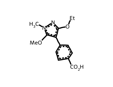 CCOc1nn(C)c(OC)c1-c1ccc(C(=O)O)cc1